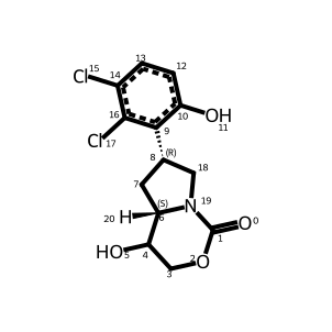 O=C1OCC(O)[C@@H]2C[C@H](c3c(O)ccc(Cl)c3Cl)CN12